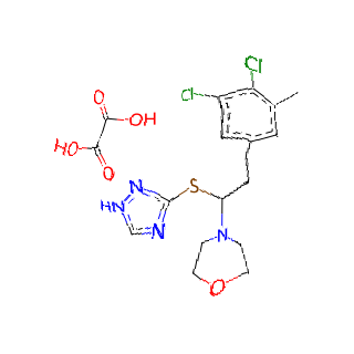 Cc1cc(CC(Sc2nc[nH]n2)N2CCOCC2)cc(Cl)c1Cl.O=C(O)C(=O)O